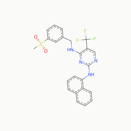 CS(=O)(=O)c1cccc(CNc2nc(Nc3cccc4ccccc34)ncc2C(F)(F)F)c1